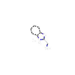 N=Cc1nc2ccccc2[nH]1.[Zn]